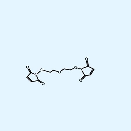 O=C1C=CC(=O)N1OCCOCCON1C(=O)C=CC1=O